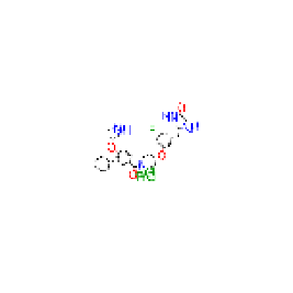 Cl.Cl.O=C1CNC(Cc2cc(F)cc(OC3CCN(C(=O)c4ccc(O[C@@H]5CCNC5)c(C5CCCCC5)c4)CC3)c2)CN1